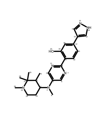 CC1C(N(C)c2cnc(-c3ccc(-c4cn[nH]c4)cc3O)nc2)CCN(C)C1(C)C